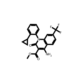 COC(=O)c1c(N)c2ccc(C(F)(F)F)cc2n(-c2ccccc2C2CC2)c1=O